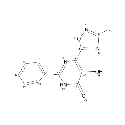 Cc1noc(-c2nc(-c3ccccc3)[nH]c(=O)c2O)n1